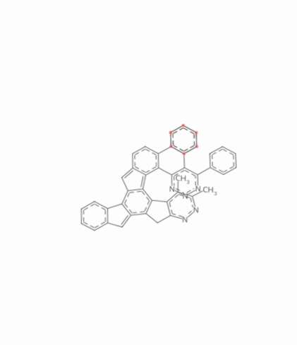 Cc1nnc2c(c1C)-c1c(c3c(c4c1=c1c(-c5nnnc(-c6ccccc6)c5-c5ccccc5)c(-c5ccccc5)ccc1=C4)-c1ccccc1C=3)C2